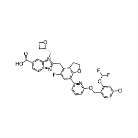 O=C(O)c1ccc2nc(Cc3c(F)cc(-c4cccc(OCc5ccc(Cl)cc5OC(F)F)n4)c4c3CCO4)n(C[C@@H]3CCO3)c2c1